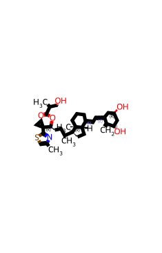 C=C1/C(=C\C=C2/CCC[C@]3(C)[C@@H]([C@H](C)CC[C@@H](OC(=O)C(C)CO)C4(c5nc(C)cs5)CC4)CC[C@@H]23)C[C@@H](O)C[C@@H]1O